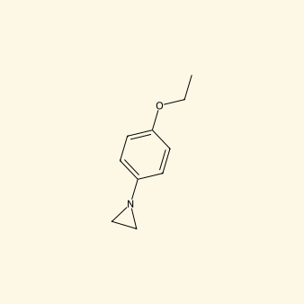 CCOc1ccc(N2CC2)cc1